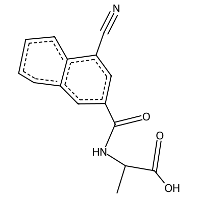 CC(NC(=O)c1cc(C#N)c2ccccc2c1)C(=O)O